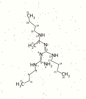 C=C(/N=C(\N=C(/N)NCCCC)NCCCC)NCCCC